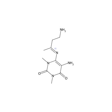 C/C(CCN)=N\c1c(N)c(=O)n(C)c(=O)n1C